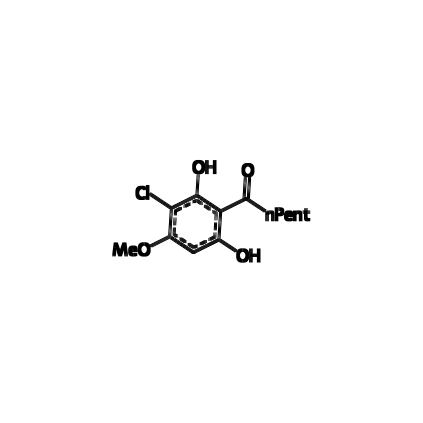 CCCCCC(=O)c1c(O)cc(OC)c(Cl)c1O